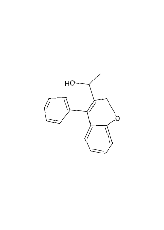 CC(O)C1=C(c2ccccc2)c2ccccc2OC1